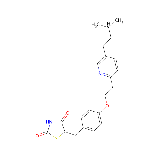 C[SiH](C)CCc1ccc(CCOc2ccc(CC3SC(=O)NC3=O)cc2)nc1